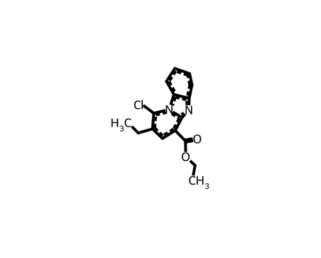 CCOC(=O)c1cc(CC)c(Cl)n2c1nc1ccccc12